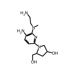 CN(CCN)c1nc(N2CC(O)CC2CO)ccc1N